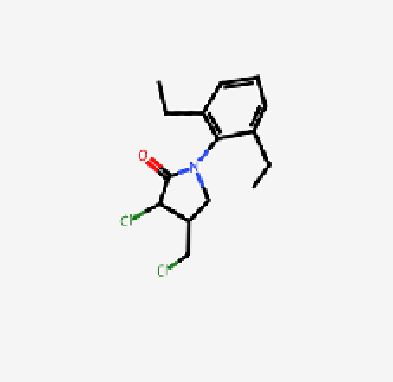 CCc1cccc(CC)c1N1CC(CCl)C(Cl)C1=O